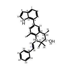 Cc1cc(-c2cccc3cc[nH]c23)cc2c1N(/C=C/c1ccccc1)C(C)(C)[C@@H](O)[C@@H]2C